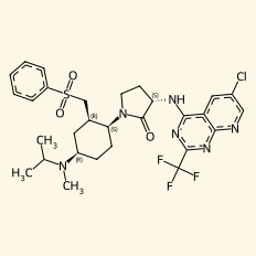 CC(C)N(C)[C@@H]1CC[C@H](N2CC[C@H](Nc3nc(C(F)(F)F)nc4ncc(Cl)cc34)C2=O)[C@H](CS(=O)(=O)c2ccccc2)C1